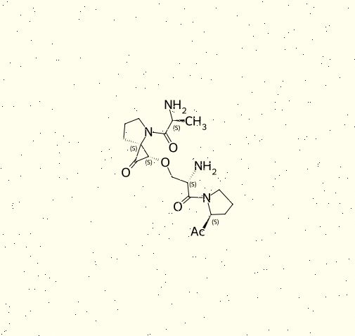 CC(=O)[C@@H]1CCCN1C(=O)[C@@H](N)CO[C@@H]1C(=O)[C@]12CCCN2C(=O)[C@H](C)N